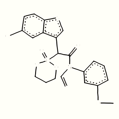 C=CN(C(=O)C(c1csc2ccc(Cl)cc12)P1(=O)OCCCO1)c1cccc(OC)c1